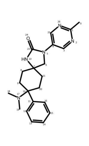 Cc1ncc(N2CC3(CCC(c4ccccc4)(N(C)C)CC3)NC2=O)cn1